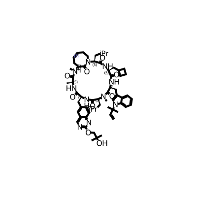 C=CC(C)(C)n1cc(C[C@@H]2NC(=O)[C@H](CC3CCC3)NC(=O)[C@H](CC(C)C)N3CC/C=C\C[C@@H](C3=O)N(C)C(=O)[C@H](C)NC(=O)[C@H](Cc3ccc4nc(OCC(C)(C)O)ncc4c3)NC(=O)[C@H](CC(C)C)N(C)C2=O)c2ccccc21